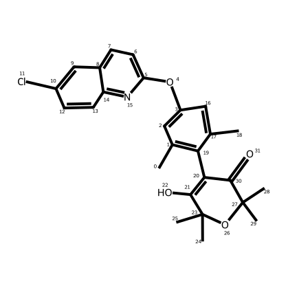 Cc1cc(Oc2ccc3cc(Cl)ccc3n2)cc(C)c1C1=C(O)C(C)(C)OC(C)(C)C1=O